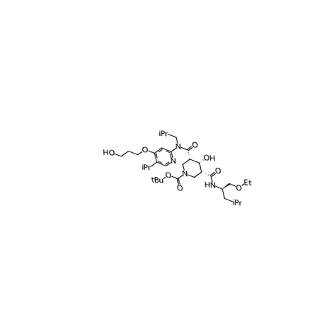 CCOC[C@@H](CC(C)C)NC(=O)[C@@H]1CN(C(=O)OC(C)(C)C)C[C@H](C(=O)N(CC(C)C)c2cc(OCCCO)c(C(C)C)cn2)[C@@H]1O